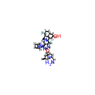 C#Cc1c(F)ccc2cc(O)cc(-c3ncc4c(N5CC6CCC(C5)N6)nc(OCC56CCC(CN)N5CC(=C)C6)nc4c3F)c12